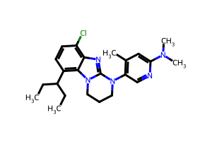 CCC(CC)c1ccc(Cl)c2nc3n(c12)CCCN3c1cnc(N(C)C)cc1C